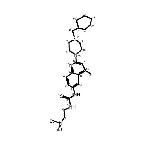 CCN(CC)CCNC(=S)Nc1ccc2nc(N3CCN(CC4CCCCC4)CC3)cc(C)c2c1